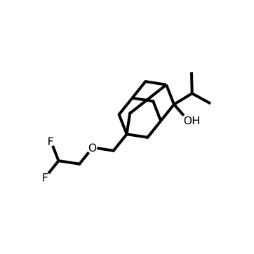 CC(C)C1(O)C2CC3CC1CC(COCC(F)F)(C3)C2